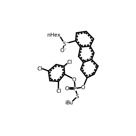 CCCCCC[S+]([O-])c1cccc2cc3ccc(OP(=O)(Oc4c(Cl)cc(Cl)cc4Cl)SC(C)CC)cc3cc12